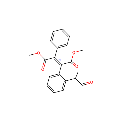 COC(=O)/C(=C(/C(=O)OC)c1ccccc1C(C)C=O)c1ccccc1